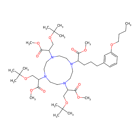 CCCCOc1cccc(CCCC(C(=O)OC)N2CCN(C(COC(C)(C)C)C(=O)OC)CCN(C(COC(C)(C)C)C(=O)OC)CCN(C(COC(C)(C)C)C(=O)OC)CC2)c1